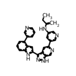 C=C(CC)Nc1cncc(-c2cc3c(-c4cc5c(-c6cccnc6)cccc5[nH]4)n[nH]c3cn2)c1